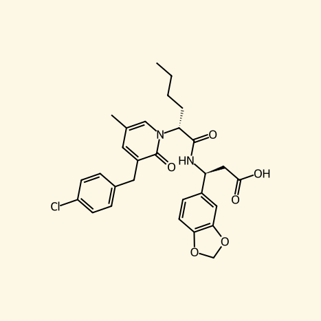 CCCC[C@H](C(=O)N[C@@H](CC(=O)O)c1ccc2c(c1)OCO2)n1cc(C)cc(Cc2ccc(Cl)cc2)c1=O